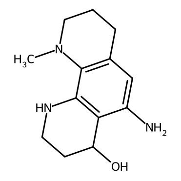 CN1CCCc2cc(N)c3c(c21)NCCC3O